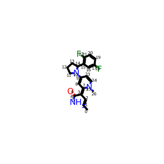 CC=C/C(C(N)=O)=C1/C=C(N2CCCC2c2cc(F)ccc2F)C=CN1C